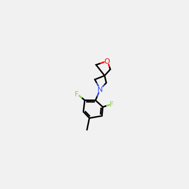 Cc1cc(F)c(N2CC3(COC3)C2)c(F)c1